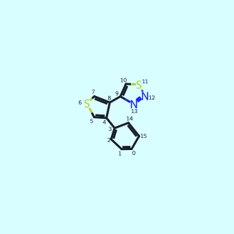 c1ccc(-c2cscc2-c2csnn2)cc1